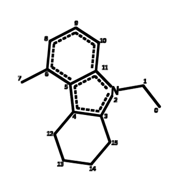 CCn1c2c(c3c(C)cccc31)CCCC2